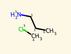 CCCN.CCl